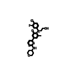 Cc1cc(-c2ccnc(NC3CCOCC3)n2)cc(=O)n1[C@H](CCO)c1ccc(Cl)c(F)c1